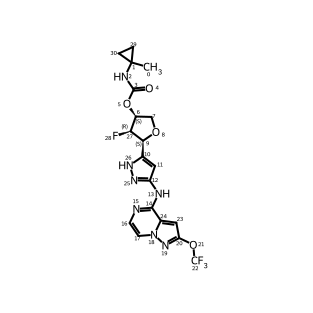 CC1(NC(=O)O[C@H]2CO[C@@H](c3cc(Nc4nccn5nc(OC(F)(F)F)cc45)n[nH]3)[C@H]2F)CC1